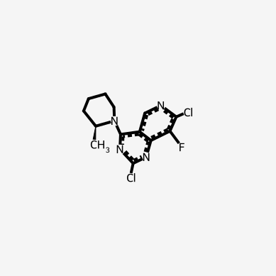 C[C@H]1CCCCN1c1nc(Cl)nc2c(F)c(Cl)ncc12